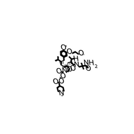 COCCCOc1cc(C[C@@H](C[C@H]2[C@H](C[C@H](C(=O)NCC(C)(C)C(N)=O)C(C)C)OCN2C(=O)OCOC(=O)C2CCN(C)CC2)C(C)C)ccc1OC